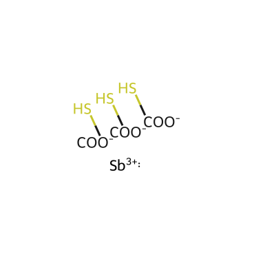 O=C([O-])S.O=C([O-])S.O=C([O-])S.[Sb+3]